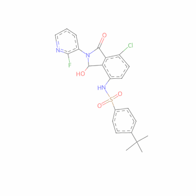 CC(C)(C)c1ccc(S(=O)(=O)Nc2ccc(Cl)c3c2C(O)N(c2cccnc2F)C3=O)cc1